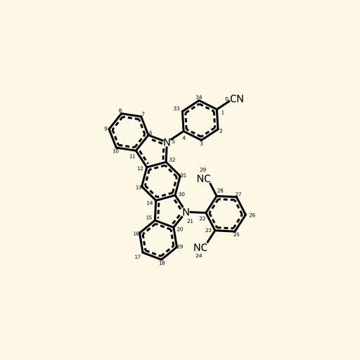 N#Cc1ccc(-n2c3ccccc3c3cc4c5ccccc5n(-c5c(C#N)cccc5C#N)c4cc32)cc1